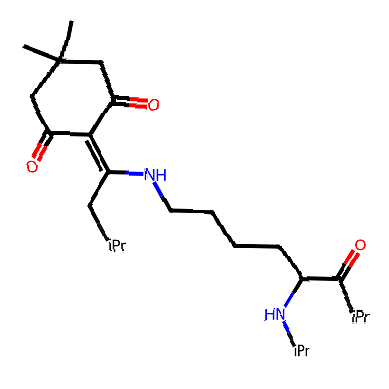 CC(C)CC(NCCCCC(NC(C)C)C(=O)C(C)C)=C1C(=O)CC(C)(C)CC1=O